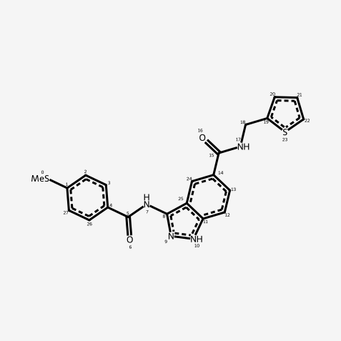 CSc1ccc(C(=O)Nc2n[nH]c3ccc(C(=O)NCc4cccs4)cc23)cc1